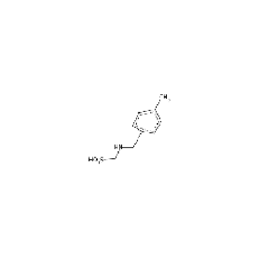 Cc1ccc(CNCS(=O)(=O)O)cc1